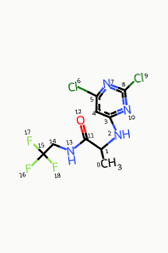 CC(Nc1cc(Cl)nc(Cl)n1)C(=O)NCC(F)(F)F